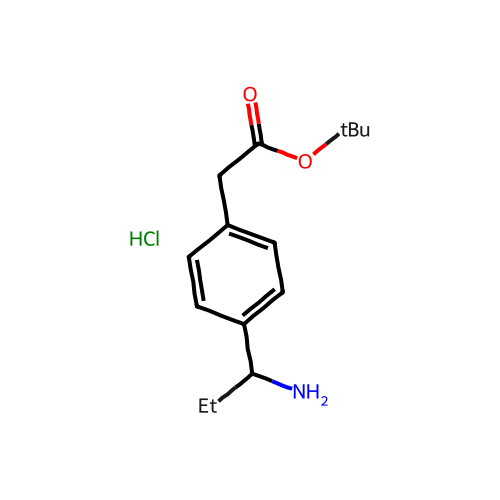 CCC(N)c1ccc(CC(=O)OC(C)(C)C)cc1.Cl